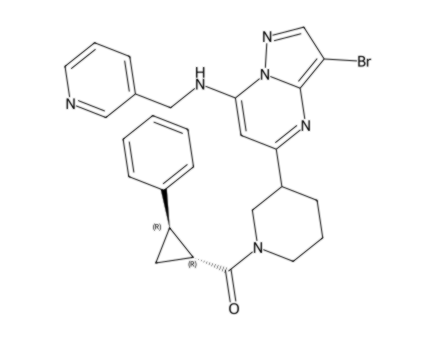 O=C([C@@H]1C[C@H]1c1ccccc1)N1CCCC(c2cc(NCc3cccnc3)n3ncc(Br)c3n2)C1